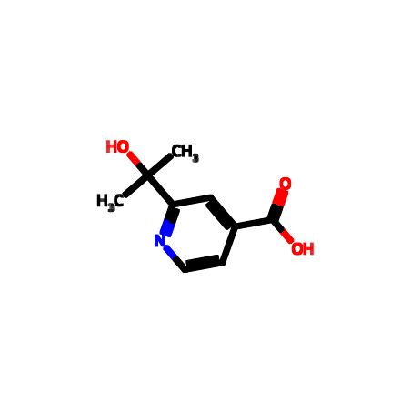 CC(C)(O)c1cc(C(=O)O)ccn1